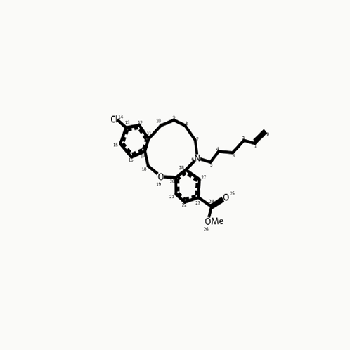 C=CCCCCN1CCCCc2cc(Cl)ccc2COc2ccc(C(=O)OC)cc21